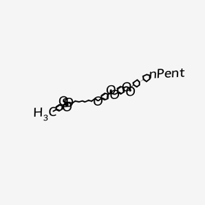 CCCCCC1CCC([C@H]2CC[C@H](C(=O)Oc3ccc(OC(=O)c4ccc(OCCCCCCCCOS(=O)(=O)c5ccc(C)cc5)cc4)cc3)CC2)CC1